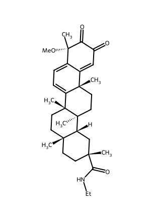 CCNC(=O)[C@]1(C)CC[C@]2(C)CC[C@]3(C)C4=CC=C5C(=CC(=O)C(=O)[C@@]5(C)OC)[C@]4(C)CC[C@@]3(C)[C@@H]2C1